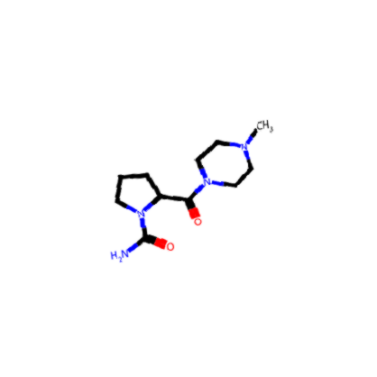 CN1CCN(C(=O)C2CCCN2C(N)=O)CC1